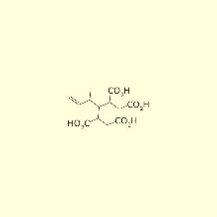 C=CC(C)C(C(CC(=O)O)C(=O)O)C(CC(=O)O)C(=O)O